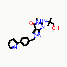 Cn1c(NC(C)(C)CO)nc2nn(Cc3ccc(-c4ccccn4)cc3)cc2c1=O